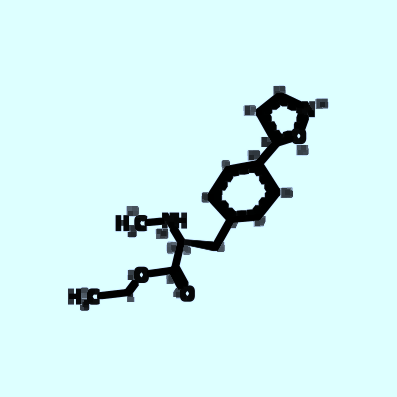 CCOC(=O)[C@H](Cc1ccc(-c2ccno2)cc1)NC